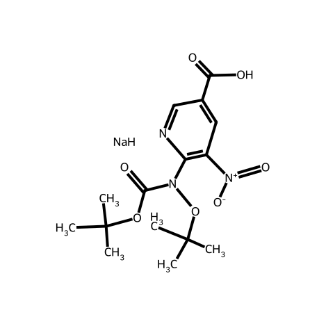 CC(C)(C)OC(=O)N(OC(C)(C)C)c1ncc(C(=O)O)cc1[N+](=O)[O-].[NaH]